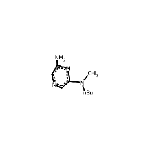 CCCCN(C)c1cncc(N)n1